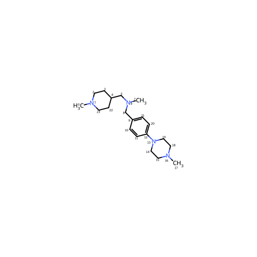 CN1CCC(CN(C)Cc2ccc(N3CCN(C)CC3)cc2)CC1